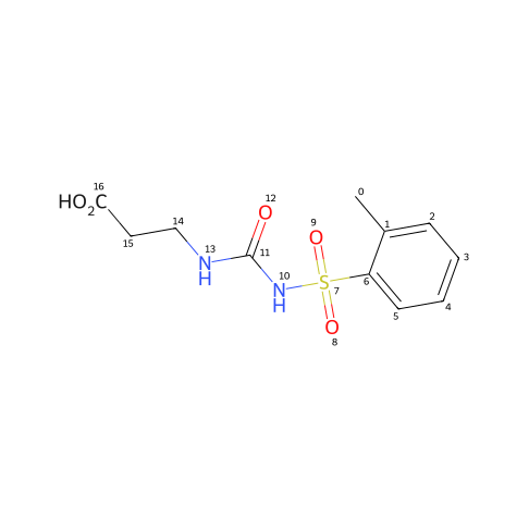 Cc1ccccc1S(=O)(=O)NC(=O)NCCC(=O)O